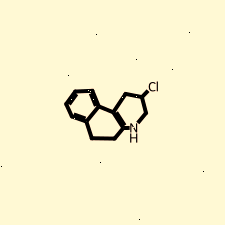 ClC1CNC2=C(C1)c1ccccc1CC2